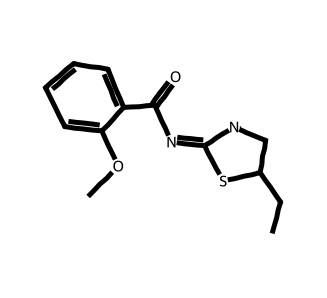 CCC1C[N]C(=NC(=O)c2ccccc2OC)S1